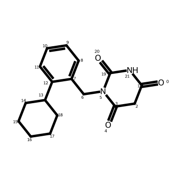 O=C1CC(=O)N(Cc2ccccc2C2CCCCC2)C(=O)N1